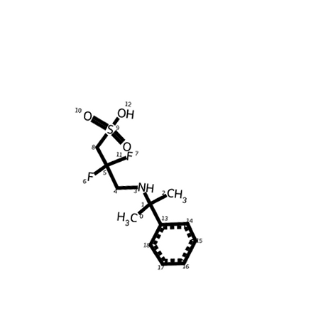 CC(C)(NCC(F)(F)CS(=O)(=O)O)c1ccccc1